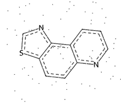 c1cnc2ccc3scnc3c2c1